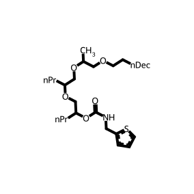 CCCCCCCCCCCCOCC(C)OCC(CCC)OCC(CCC)OC(=O)NCc1cccs1